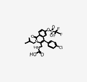 CC(C)Cn1c(CNC(=O)O)c(-c2ccc(Cl)cc2)c2cc(OS(=O)(=O)C(F)(F)F)ccc2c1=O